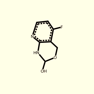 OC1Nc2nccc(F)c2CO1